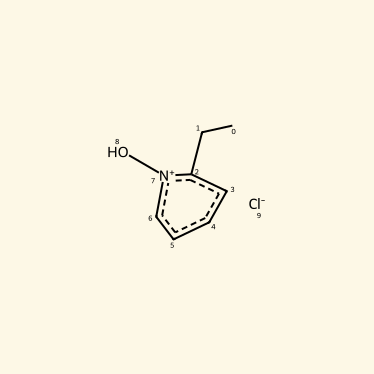 CCc1cccc[n+]1O.[Cl-]